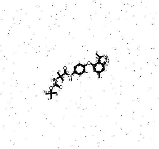 Cc1cc(Oc2ccc(NC(=O)C(C)(C)NC(=O)OC(C)(C)C)cc2)c2c(C)noc2c1